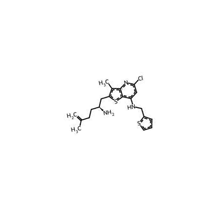 C=C(C)CC[C@H](N)Cc1sc2c(NCc3cccs3)cc(Cl)nc2c1C